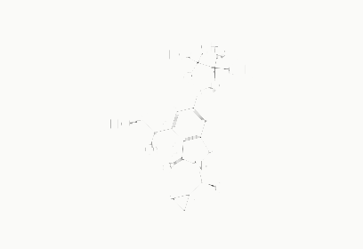 C[C@@H](C1CC1)N1Cc2cc(B3OC(C)(C)C(C)(C)O3)cc(C(O)CO)c2C1=O